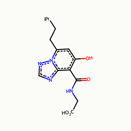 CC(C)CCc1cc(O)c(C(=O)NCC(=O)O)c2ncnn12